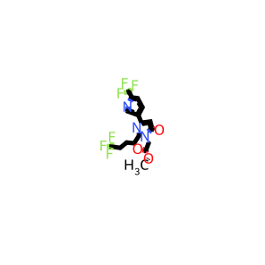 COC(=O)Cn1c(CCCC(F)(F)F)nc(-c2ccc(C(F)(F)F)nc2)cc1=O